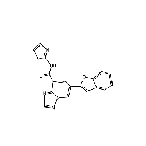 Cc1csc(NC(=O)c2cc(-c3cc4ccccc4o3)cn3ncnc23)n1